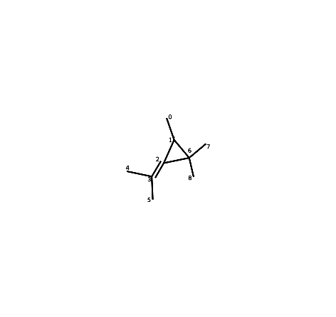 C[C]1C(=C(C)C)C1(C)C